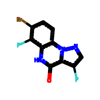 O=c1[nH]c2c(F)c(Br)ccc2n2ncc(F)c12